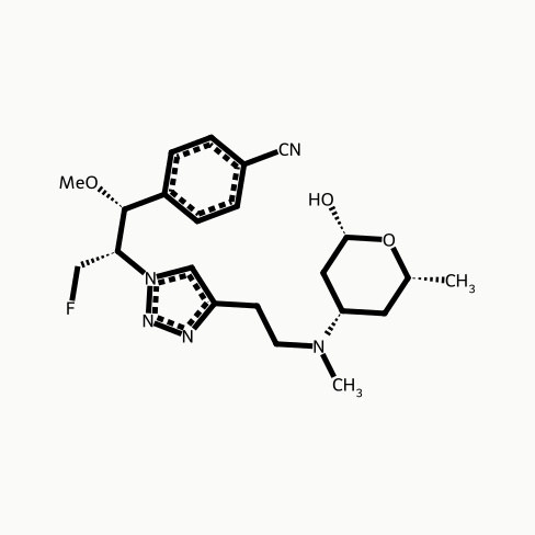 CO[C@H](c1ccc(C#N)cc1)[C@@H](CF)n1cc(CCN(C)[C@H]2C[C@@H](C)O[C@@H](O)C2)nn1